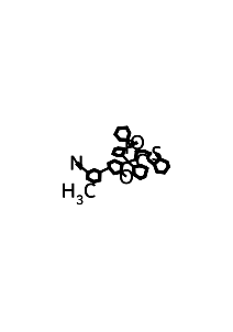 Cc1cc(C#N)cc(-c2ccc3c(c2)Oc2ccccc2C32c3ccccc3P(=O)(c3ccccc3)c3cc4sc5ccccc5c4cc32)c1